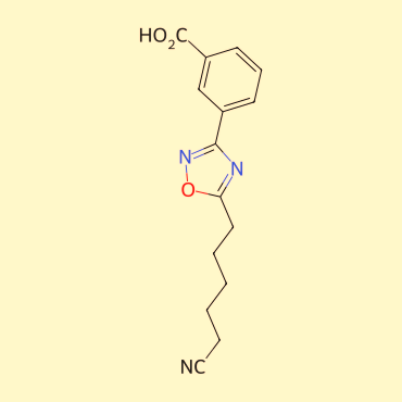 N#CCCCCCc1nc(-c2cccc(C(=O)O)c2)no1